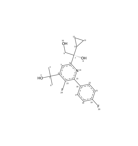 CC(C)(O)c1cc([C@@](O)(CO)C2CC2)nc(-c2ccc(F)cc2)c1F